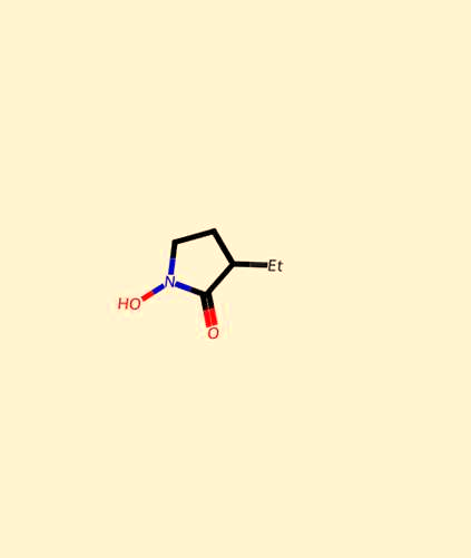 CCC1CCN(O)C1=O